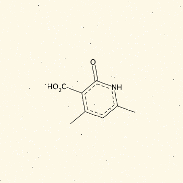 Cc1cc(C)c(C(=O)O)c(=O)[nH]1